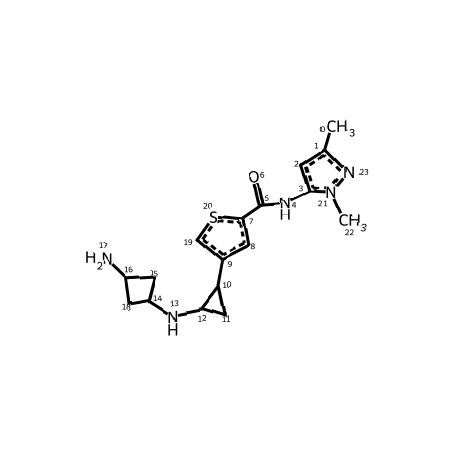 Cc1cc(NC(=O)c2cc(C3CC3NC3CC(N)C3)cs2)n(C)n1